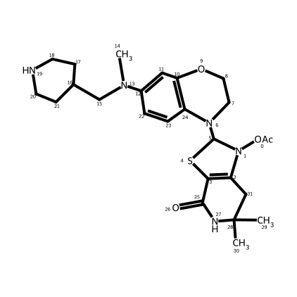 CC(=O)ON1C2=C(SC1N1CCOc3cc(N(C)CC4CCNCC4)ccc31)C(=O)NC(C)(C)C2